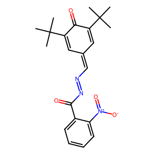 CC(C)(C)C1=CC(=C/N=N/C(=O)c2ccccc2[N+](=O)[O-])C=C(C(C)(C)C)C1=O